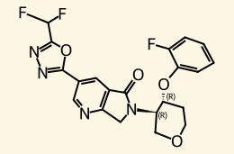 O=C1c2cc(-c3nnc(C(F)F)o3)cnc2CN1[C@@H]1COCC[C@H]1Oc1ccccc1F